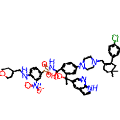 CC1(C)CCC(CN2CCN(c3ccc(C(=O)NS(=O)(=O)c4ccc(NCC5CCOCC5)c([N+](=O)[O-])c4)c(C(C)(O)c4cnc5[nH]ccc5c4)c3)CC2)=C(c2ccc(Cl)cc2)C1